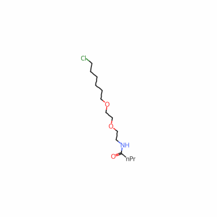 CCCC(=O)NCCOCCOCCCCCCCl